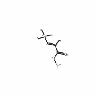 CCCOC(=O)C(C)=C[N+](C)(C)C